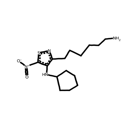 NCCCCCCc1nsc([N+](=O)[O-])c1NC1CCCCC1